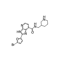 O=C(NCC1CCCNC1)c1ccnc2[nH]c(-c3ccc(Br)o3)nc12